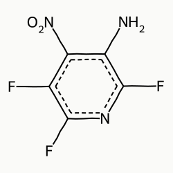 Nc1c(F)nc(F)c(F)c1[N+](=O)[O-]